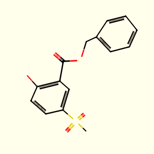 CS(=O)(=O)c1ccc(O)c(C(=O)OCc2ccccc2)c1